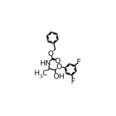 CC(NC(=O)OCc1ccccc1)C(O)Oc1cc(F)cc(F)c1